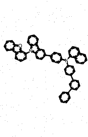 c1ccc(-c2cccc(-c3ccc(N(c4ccc(-c5ccc6c(c5)c5ccccc5n6-c5cccc6c5oc5ccccc56)cc4)c4cccc5ccccc45)cc3)c2)cc1